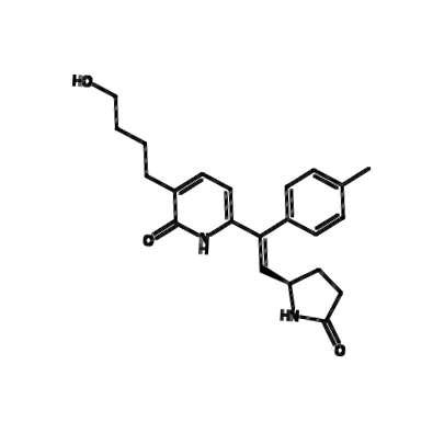 Cc1ccc(/C(=C\[C@H]2CCC(=O)N2)c2ccc(CCCCO)c(=O)[nH]2)cc1